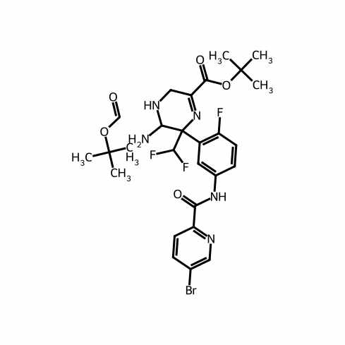 CC(C)(C)OC(=O)C1=NC(c2cc(NC(=O)c3ccc(Br)cn3)ccc2F)(C(F)F)C(N)NC1.CC(C)(C)OC=O